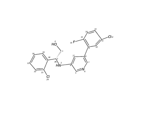 OC[C@H](Nc1cncc(-c2cc(Cl)ccc2F)c1)c1ccccc1Cl